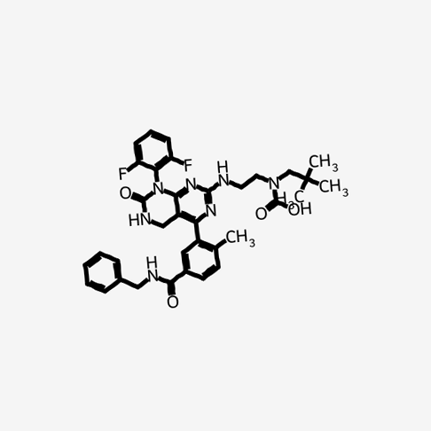 Cc1ccc(C(=O)NCc2ccccc2)cc1-c1nc(NCCN(CC(C)(C)C)C(=O)O)nc2c1CNC(=O)N2c1c(F)cccc1F